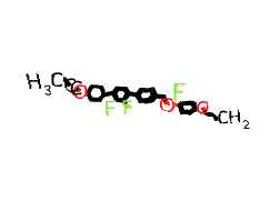 C=CCCOc1ccc(OCc2ccc(-c3ccc(C4CCC(OCCCC)CC4)c(F)c3F)cc2)c(F)c1